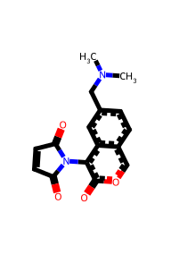 CN(C)Cc1ccc2coc(=O)c(N3C(=O)C=CC3=O)c2c1